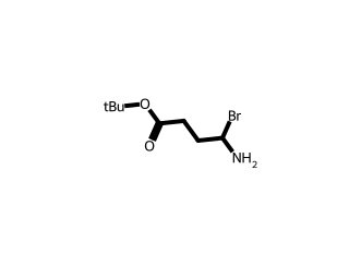 CC(C)(C)OC(=O)CCC(N)Br